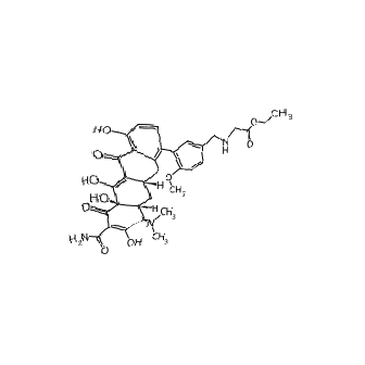 CCOC(=O)CNCc1ccc(OC)c(-c2ccc(O)c3c2C[C@@H]2C[C@@H]4[C@@H](N(C)C)C(O)=C(C(N)=O)C(=O)[C@]4(O)C(O)=C2C3=O)c1